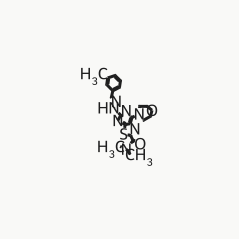 Cc1cccc(/C=N/Nc2nc(N3CCOCC3)c3nc(C(=O)N(C)C)sc3n2)c1